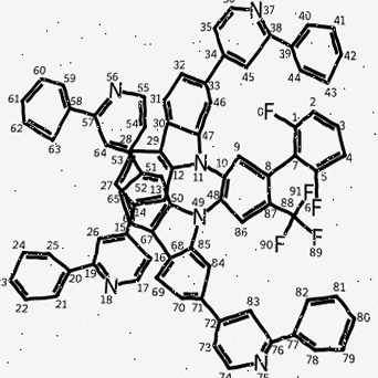 Fc1cccc(F)c1-c1cc(-n2c3cc(-c4ccnc(-c5ccccc5)c4)ccc3c3ccc(-c4ccnc(-c5ccccc5)c4)cc32)c(-n2c3cc(-c4ccnc(-c5ccccc5)c4)ccc3c3ccc(-c4ccnc(-c5ccccc5)c4)cc32)cc1C(F)(F)F